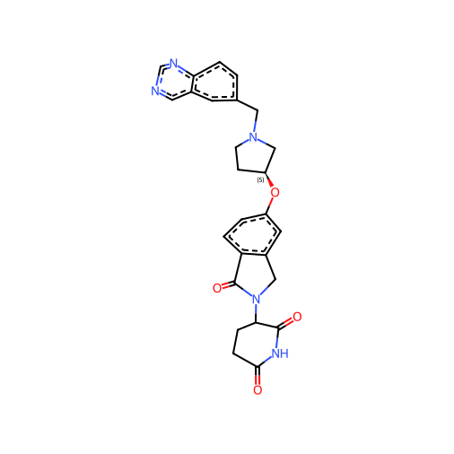 O=C1CCC(N2Cc3cc(O[C@H]4CCN(Cc5ccc6ncncc6c5)C4)ccc3C2=O)C(=O)N1